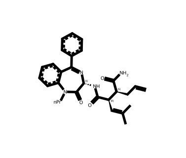 C=CC[C@H](C(N)=O)[C@@H](C=C(C)C)C(=O)N[C@H]1N=C(c2ccccc2)c2ccccc2N(CCC)C1=O